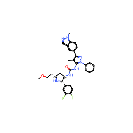 COCC[C@@H]1C[C@@H](NC(=O)Nc2c(C)c(-c3ccc4c(cnn4C)c3)nn2-c2ccccc2)[C@H](c2ccc(F)c(F)c2)N1